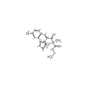 CCOC(=O)C(C)(C)C(=O)C(=Cc1ccc(Cl)cc1)n1cncn1